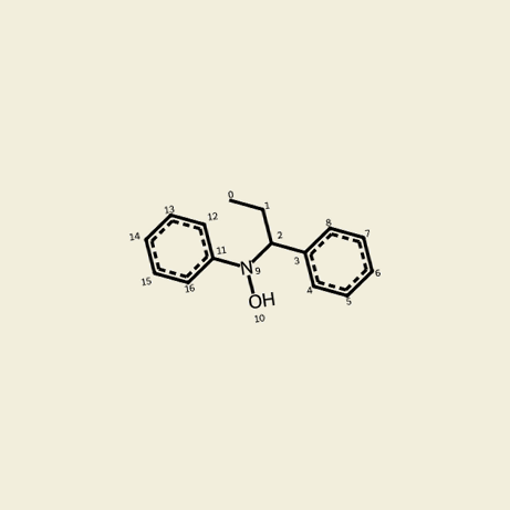 CCC(c1ccccc1)N(O)c1ccccc1